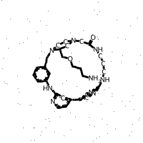 NCCCOCC1CN2CCN1Cc1cccc(c1)Nc1cc(ccn1)-c1cnc(nc1)NCCCNC(=O)C2